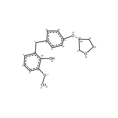 COc1cccc(Cc2ccc(O[C@@H]3CCOC3)cc2)c1O